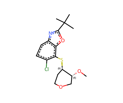 CO[C@@H]1COCC[C@H]1Sc1c(Cl)ccc2nc(C(C)(C)C)oc12